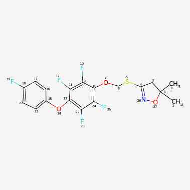 CC1(C)CC(SCOc2c(F)c(F)c(Oc3ccc(F)cc3)c(F)c2F)=NO1